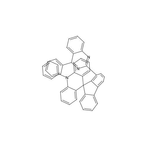 c1ccc(-c2nc(-c3cccc4c3C3(c5ccccc5-4)c4ccccc4N(c4ccccc4)c4ccccc43)nc3ccccc23)cc1